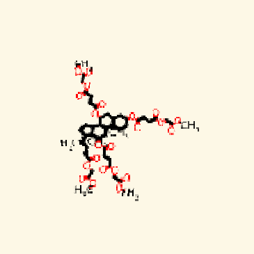 COC(=O)COC(=O)CCC(=O)OC1CCC2(C)C(C1)CC(OC(=O)CCC(=O)OCC(=O)OC)C1C2CC(OC(=O)CCC(=O)OCC(=O)OC)C2(C)C(C(C)CCC(=O)OCC(=O)OC)CCC12